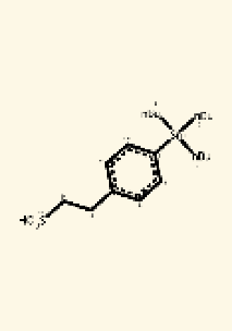 CCC[CH2][Sn]([CH2]CCC)([CH2]CCC)[c]1ccc(CCS(=O)(=O)O)cc1